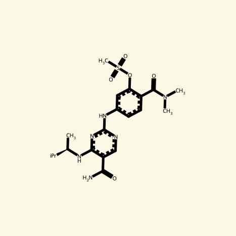 CC(C)[C@@H](C)Nc1nc(Nc2ccc(C(=O)N(C)C)c(OS(C)(=O)=O)c2)ncc1C(N)=O